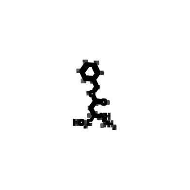 O=C(C[C@H](NP)C(=O)O)OCc1ccccc1